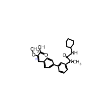 CO/C(=C/c1ccc(-c2cccc(N(C)C(=O)NC3CCCCC3)c2)cc1)C(=O)O